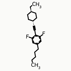 CCCCCc1cc(F)c(C#C[C@H]2CC[C@H](CC)CC2)c(F)c1